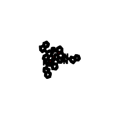 O=P(c1ccccc1)(c1cc(-c2cccc3ccccc23)c2ccc3nc(-c4ccc5ccccc5c4)nc4ccc1c2c34)c1cc(-c2cccc3ccccc23)c2ccc3nc(-c4ccc5ccccc5c4)nc4ccc1c2c34